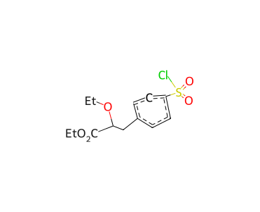 CCOC(=O)C(Cc1ccc(S(=O)(=O)Cl)cc1)OCC